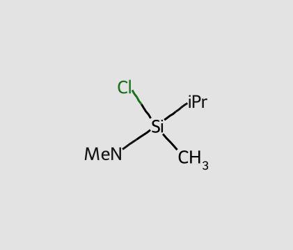 CN[Si](C)(Cl)C(C)C